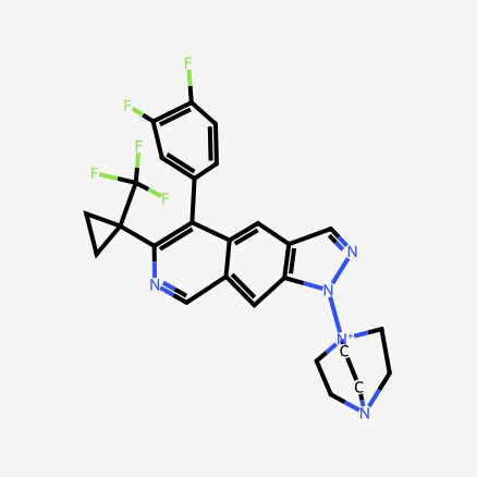 Fc1ccc(-c2c(C3(C(F)(F)F)CC3)ncc3cc4c(cnn4[N+]45CCN(CC4)CC5)cc23)cc1F